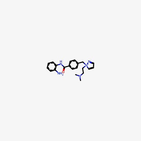 CN(C)CC[N+]1(Cc2ccc(C(=O)Nc3ccccc3N)cc2)C=CC=N1